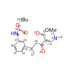 COC(=O)/C(=C\N(C)C)C(=O)CC(C)c1cccc(NC(=O)OC(C)(C)C)c1